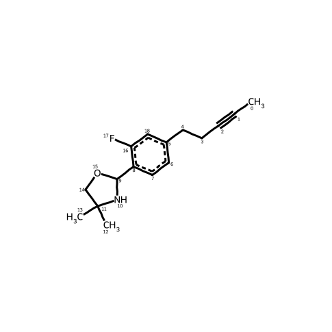 CC#CCCc1ccc(C2NC(C)(C)CO2)c(F)c1